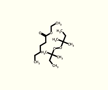 CCC(C)(C)OOC(C)(C)CC.CCCCCC(=O)OCC